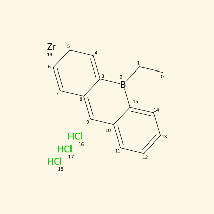 CCB1C2=CCC=CC2=Cc2ccccc21.Cl.Cl.Cl.[Zr]